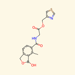 Cc1c(C(=O)NCC(=O)OCc2cscn2)ccc2c1B(O)OC2